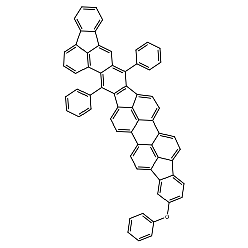 c1ccc(Oc2ccc3c(c2)-c2ccc4c5ccc6c7c(-c8ccccc8)c8c(cc9c%10ccccc%10c%10cccc8c%109)c(-c8ccccc8)c7c7ccc(c8ccc-3c2c84)c5c76)cc1